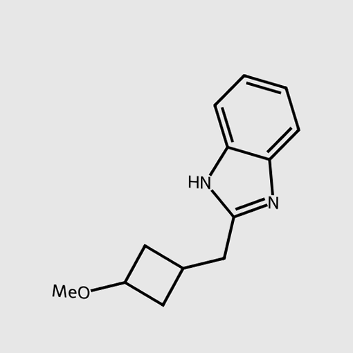 COC1CC(Cc2nc3ccccc3[nH]2)C1